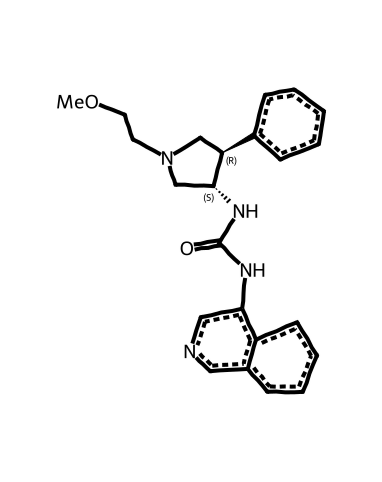 COCCN1C[C@@H](NC(=O)Nc2cncc3ccccc23)[C@H](c2ccccc2)C1